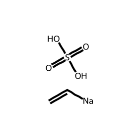 C=[CH][Na].O=S(=O)(O)O